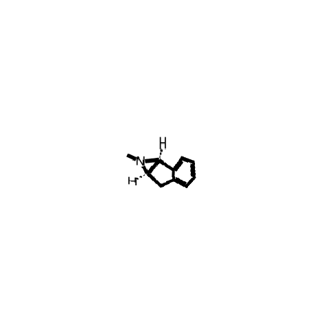 CN1[C@@H]2Cc3ccccc3[C@@H]21